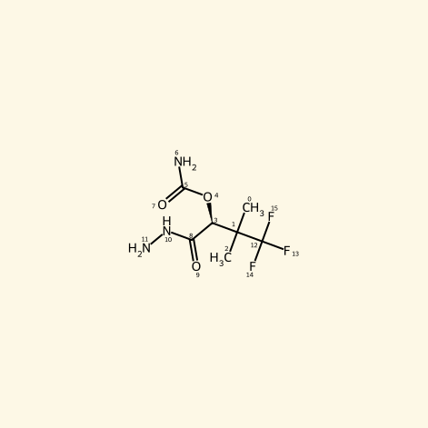 CC(C)([C@H](OC(N)=O)C(=O)NN)C(F)(F)F